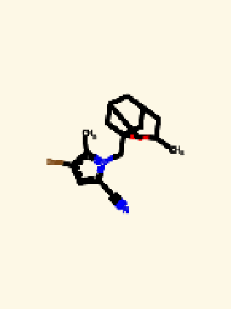 Cc1c(Br)cc(C#N)n1CC12CC3CC(CC(C)(C3)O1)C2